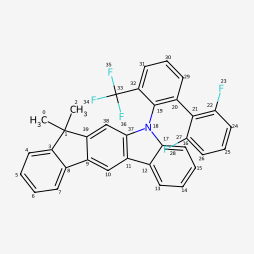 CC1(C)c2ccccc2-c2cc3c4ccccc4n(-c4c(-c5c(F)cccc5F)cccc4C(F)(F)F)c3cc21